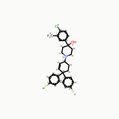 OC1(c2ccc(Cl)c(C(F)(F)F)c2)CCN(C2C=CC(c3ccc(F)cc3)(c3ccc(F)cc3)CC2)CC1